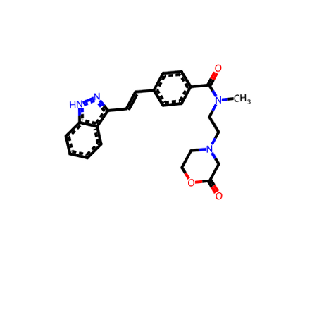 CN(CCN1CCOC(=O)C1)C(=O)c1ccc(C=Cc2n[nH]c3ccccc23)cc1